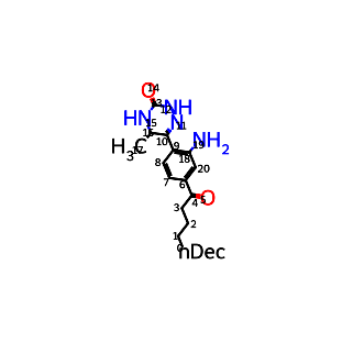 CCCCCCCCCCCCCC(=O)c1ccc(C2=NNC(=O)NC2C)c(N)c1